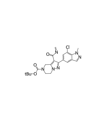 C=NC(=O)c1c(-c2cc(Cl)c3c(cnn3C)c2)nn2c1CN(C(=O)OC(C)(C)C)CC2